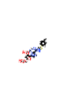 Cc1ccc(SCNc2ncnc3c2ncn3[C@@H]2O[C@H](CO)C[C@H]2O)cc1